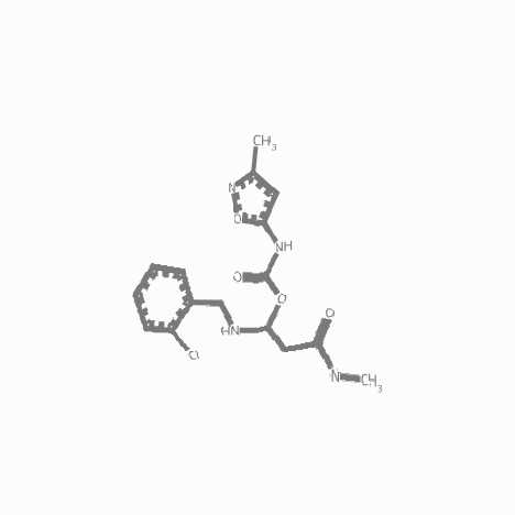 C[N]C(=O)CC(NCc1ccccc1Cl)OC(=O)Nc1cc(C)no1